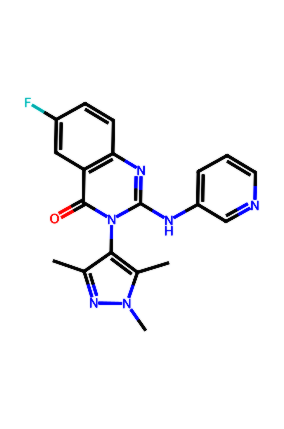 Cc1nn(C)c(C)c1-n1c(Nc2cccnc2)nc2ccc(F)cc2c1=O